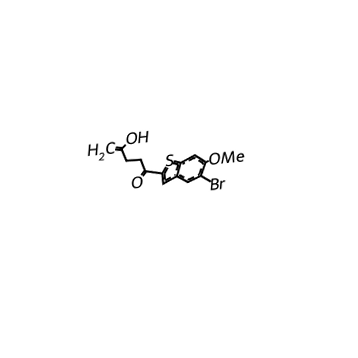 C=C(O)CCC(=O)c1cc2cc(Br)c(OC)cc2s1